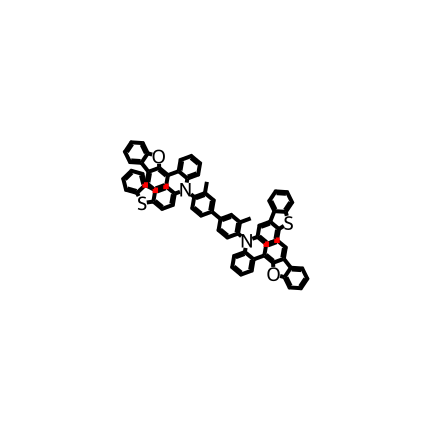 Cc1cc(-c2ccc(N(c3ccc4sc5ccccc5c4c3)c3ccccc3-c3cccc4c3oc3ccccc34)c(C)c2)ccc1N(c1ccc2sc3ccccc3c2c1)c1ccccc1-c1cccc2c1oc1ccccc12